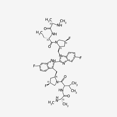 CC[C@H](NC(=O)[C@H](C)NC)C(=O)N1C[C@@H](F)C[C@H]1Cn1c(-c2[nH]c3cc(F)ccc3c2C[C@@H]2C[C@H](F)CN2C(=O)C(NC(=O)[C@H](C)NC)C(C)C)nc2cc(F)ccc21